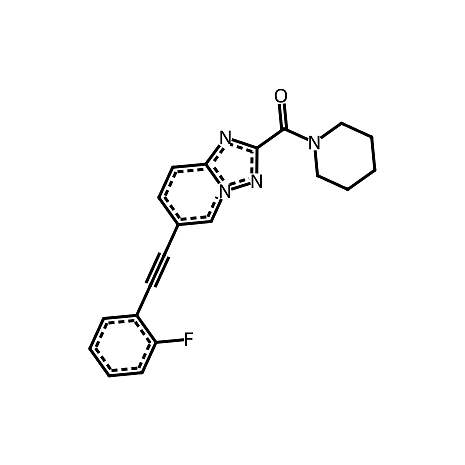 O=C(c1nc2ccc(C#Cc3ccccc3F)cn2n1)N1CCCCC1